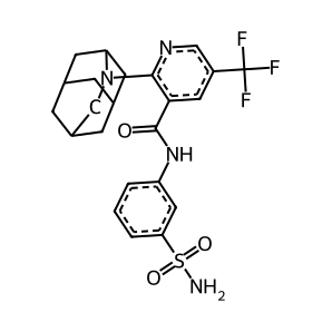 NS(=O)(=O)c1cccc(NC(=O)c2cc(C(F)(F)F)cnc2N2CC3CC4CC(C3)CC2C4)c1